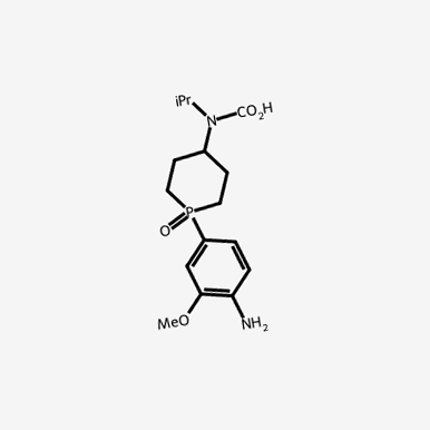 COc1cc(P2(=O)CCC(N(C(=O)O)C(C)C)CC2)ccc1N